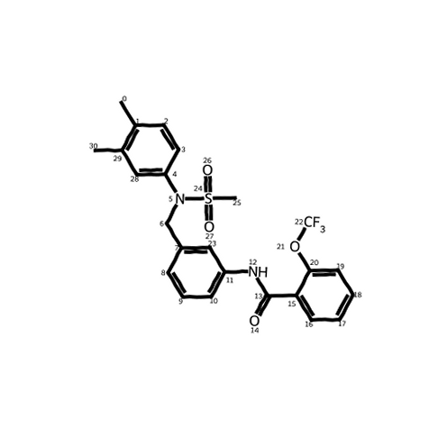 Cc1ccc(N(Cc2cccc(NC(=O)c3ccccc3OC(F)(F)F)c2)S(C)(=O)=O)cc1C